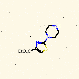 CCOC(=O)c1csc(N2CCNCC2)n1